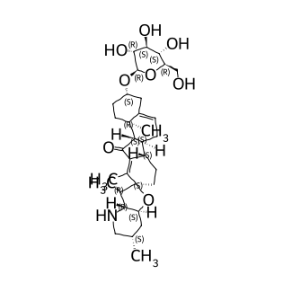 CC1=C2C(=O)[C@H]3[C@@H](CC=C4C[C@@H](O[C@@H]5O[C@H](CO)[C@@H](O)[C@H](O)[C@H]5O)CC[C@@]43C)[C@@H]2CC[C@@]12O[C@H]1C[C@H](C)CN[C@@H]1[C@H]2C